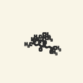 CC(=O)CC(C(=O)NCCN(C)C)N(C)C(=O)C(C)(C)C